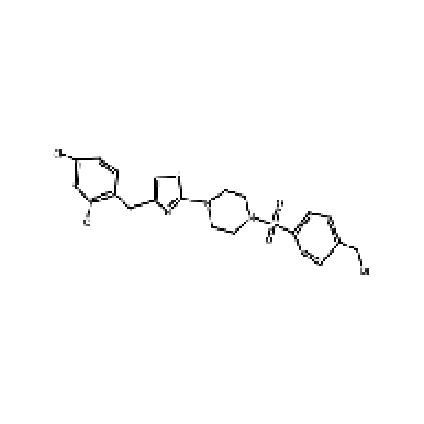 O=S(=O)(c1ccc(CBr)cc1)N1CCN(c2nc(Cc3ccc(Cl)cc3Cl)cs2)CC1